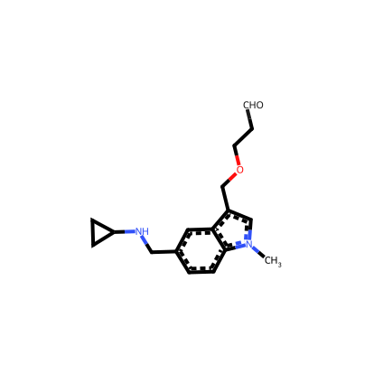 Cn1cc(COCCC=O)c2cc(CNC3CC3)ccc21